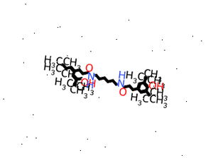 C=C(/C=C(\C=C(/CO)C(C)(C)C)CCC(=O)NCCCCCCNC(=O)CCc1cc(C(C)(C)C)c(O)c(C(C)(C)C)c1)C(C)(C)C